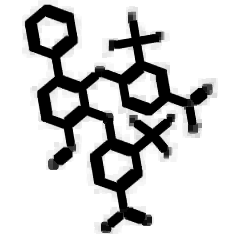 O=Pc1ccc(-c2ccccc2)c(Oc2ccc([N+](=O)[O-])cc2C(F)(F)F)c1Oc1ccc([N+](=O)[O-])cc1C(F)(F)F